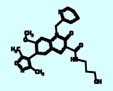 COc1cc2c(cc1-c1c(C)noc1C)cc(C(=O)NCCCO)c(=O)n2Cc1ccccn1